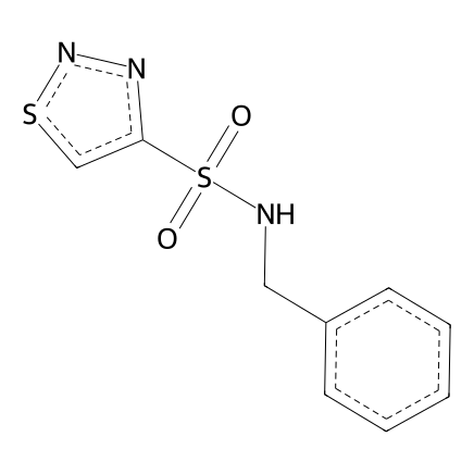 O=S(=O)(NCc1ccccc1)c1csnn1